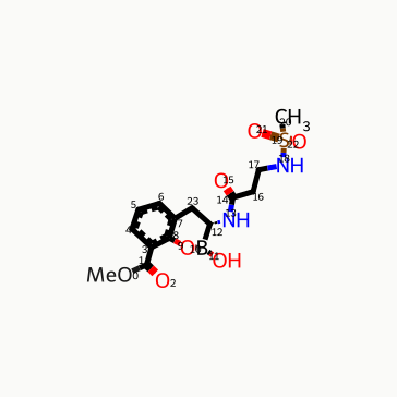 COC(=O)c1cccc2c1OB(O)[C@@H](NC(=O)CCNS(C)(=O)=O)C2